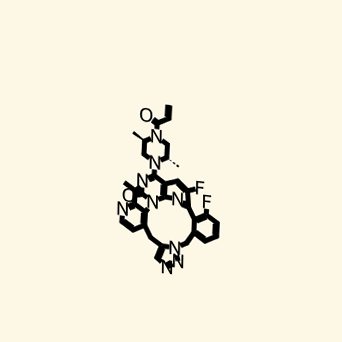 C=CC(=O)N1C[C@H](C)N(c2nc(=O)n3c4nc(c(F)cc24)-c2c(F)cccc2Cn2nncc2Cc2ccnc(C(C)C)c2-3)C[C@H]1C